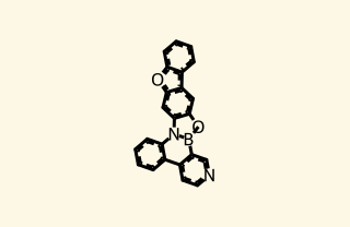 c1ccc2c(c1)-c1ccncc1B1Oc3cc4c(cc3N12)oc1ccccc14